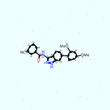 COc1ccc(-c2ccc3c(NC(=O)c4cccc(C#N)c4)n[nH]c3c2)c(OC)c1